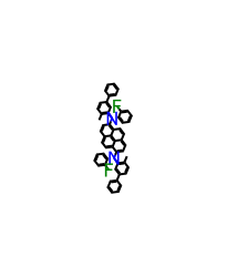 Cc1ccc(-c2ccccc2)cc1N(c1ccccc1F)c1ccc2ccc3c(N(c4cc(-c5ccccc5)ccc4C)c4ccccc4F)ccc4ccc1c2c43